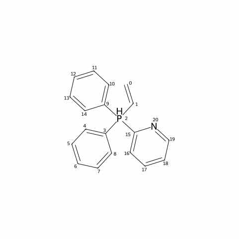 C=C[PH](c1ccccc1)(c1ccccc1)c1ccccn1